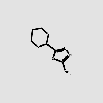 Nc1nnc(C2SCCCS2)s1